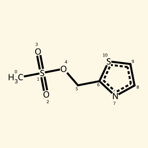 CS(=O)(=O)OCc1nccs1